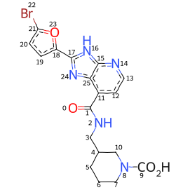 O=C(NCC1CCCN(C(=O)O)C1)c1ccnc2[nH]c(-c3ccc(Br)o3)nc12